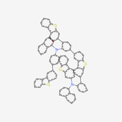 c1ccc(N(c2ccc3c(c2)sc2ccccc23)c2cccc3ccccc23)c(-c2ccc3c(c2)sc2ccc(-c4ccc(-c5ccc6c(c5)sc5ccccc56)c(N(c5ccc(-c6ccc7sc8ccccc8c7c6)cc5)c5cccc6ccccc56)c4)cc23)c1